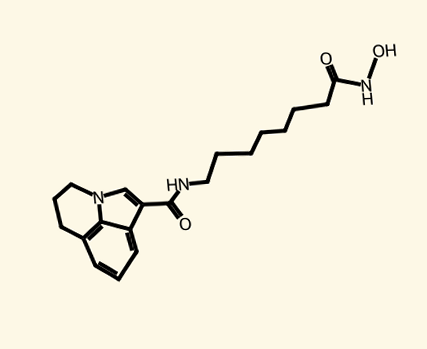 O=C(CCCCCCCNC(=O)c1cn2c3c(cccc13)CCC2)NO